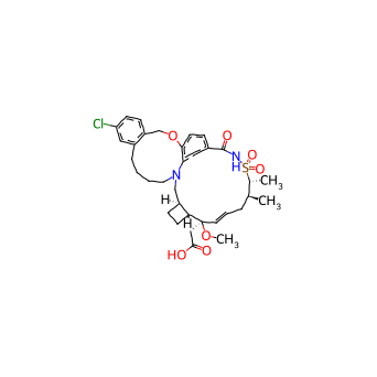 CO[C@]1(CC(=O)O)/C=C/C[C@H](C)[C@@H](C)S(=O)(=O)NC(=O)c2ccc3c(c2)N(CCCCc2cc(Cl)ccc2CO3)C[C@@H]2CC[C@H]21